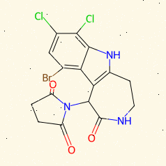 O=C1NCCc2[nH]c3c(Cl)c(Cl)cc(Br)c3c2C1N1C(=O)CCC1=O